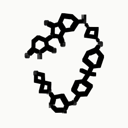 CC(C)(c1ccc(Oc2cc(N3CC4(COC4)C3)ncn2)cc1)c1ccc(O[C@H]2C[C@@H](Nc3ccc4c(c3)C(=O)N(C3CCC(=O)NC3=O)C4=O)C2)cc1